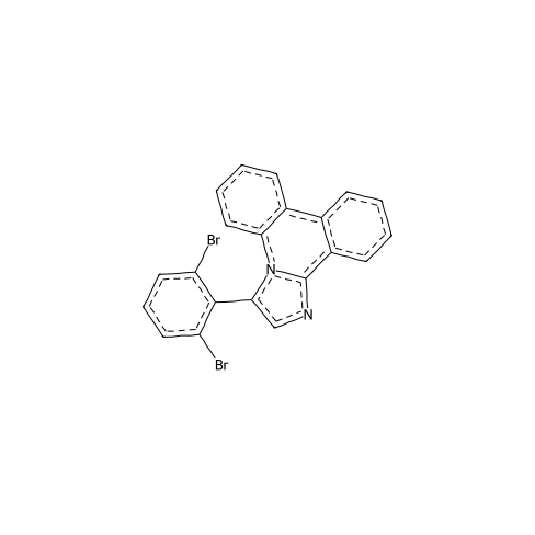 Brc1cccc(Br)c1-c1cnc2c3ccccc3c3ccccc3n12